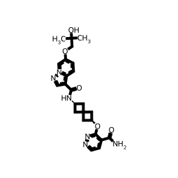 CC(C)(O)COc1ccc2c(C(=O)N[C@H]3CC4(C3)C[C@H](Oc3nnccc3C(N)=O)C4)cnn2c1